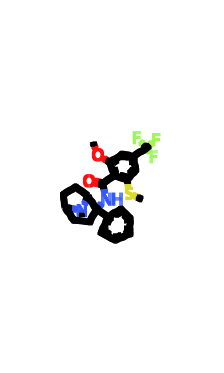 COc1cc(C(F)(F)F)cc(SC)c1C(=O)NC1(c2ccccc2)CCC2CCC1N2C